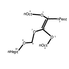 CCCCCCCCOC(CCCCC)=C(OCCCCCCCC)OCOCCCCCCC